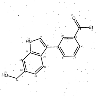 CCC(=O)c1cccc(-c2c[nH]c3cc(CO)ccc23)c1